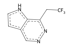 FC(F)(F)Cc1nncc2cc[nH]c12